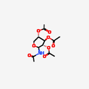 CC(=O)N[C@H]1OC[C@H](OC(C)=O)[C@@H](OC(C)=O)[C@@H]1OC(C)=O